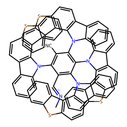 C/N=C/c1c(-n2c3ccccc3c3ccc4sc5ccccc5c4c32)c(C#N)c(-n2c3ccccc3c3ccc4sc5ccccc5c4c32)c(-n2c3ccccc3c3ccc4sc5ccccc5c4c32)c1-n1c2ccccc2c2ccc3sc4ccccc4c3c21